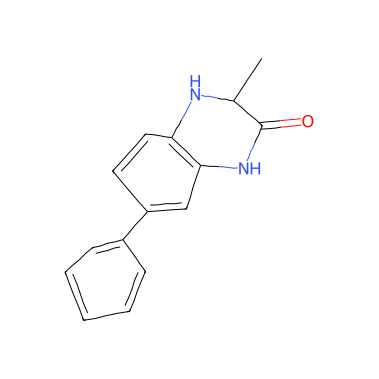 CC1Nc2ccc(-c3ccccc3)cc2NC1=O